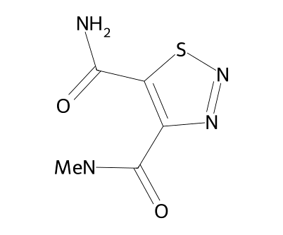 CNC(=O)c1nnsc1C(N)=O